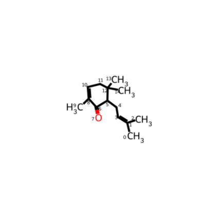 CC(C)=CCC1C(=O)C(C)=CCC1(C)C